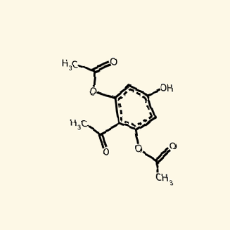 CC(=O)Oc1cc(O)cc(OC(C)=O)c1C(C)=O